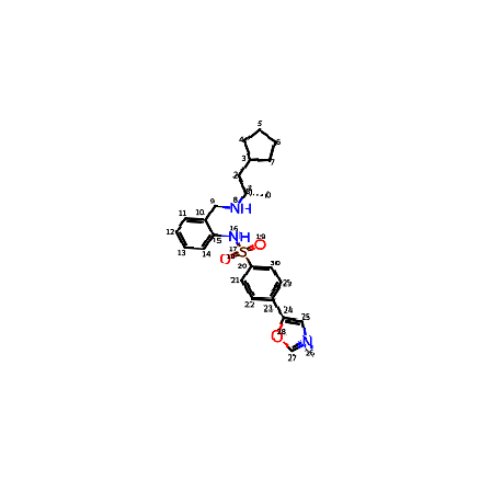 C[C@@H](CC1CCCC1)NCc1ccccc1NS(=O)(=O)c1ccc(-c2cnco2)cc1